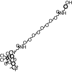 CC1=CC(C)(C)N(C)c2cc3c(cc21)C1(OC(=O)c2c(Cl)c(Cl)c(Cl)c(Cl)c21)c1cc2c(cc1O3)N(CCCC(=O)NCCOCCOCCOCCOCCOCCOCCOCCOCCC(=O)NCCc1ccc(O)cc1)CCC2